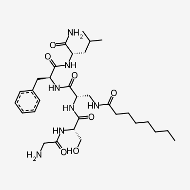 CCCCCCCC(=O)NC[C@H](NC(=O)[C@H](CO)NC(=O)CN)C(=O)N[C@@H](Cc1ccccc1)C(=O)N[C@@H](CC(C)C)C(N)=O